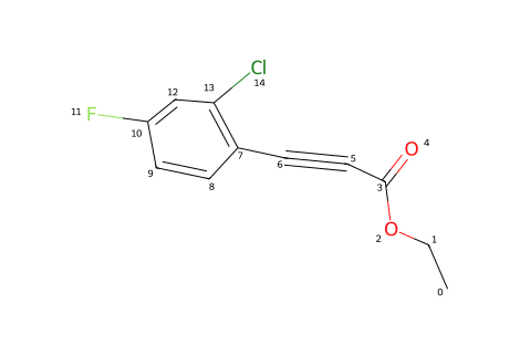 CCOC(=O)C#Cc1ccc(F)cc1Cl